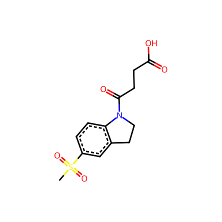 CS(=O)(=O)c1ccc2c(c1)CCN2C(=O)CCC(=O)O